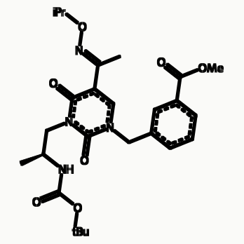 COC(=O)c1cccc(Cn2cc(/C(C)=N/OC(C)C)c(=O)n(C[C@H](C)NC(=O)OC(C)(C)C)c2=O)c1